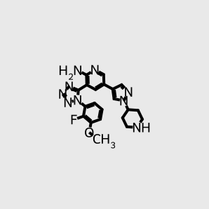 COc1cccc(-n2nnnc2-c2cc(-c3cnn(C4CCNCC4)c3)cnc2N)c1F